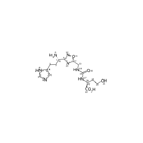 N[C@@H](CCc1cnc[nH]1)c1noc(CNC(=O)N[C@@H](CCO)C(=O)O)n1